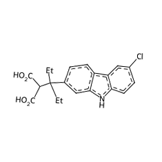 CCC(CC)(c1ccc2c(c1)[nH]c1ccc(Cl)cc12)C(C(=O)O)C(=O)O